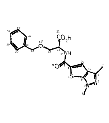 Cc1nn(C)c2sc(C(=O)N[C@@H](COCc3ccccc3)C(=O)O)cc12